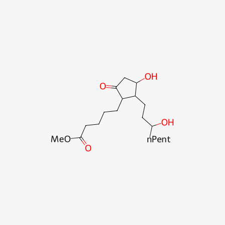 CCCCCC(O)CCC1C(O)CC(=O)C1CCCCC(=O)OC